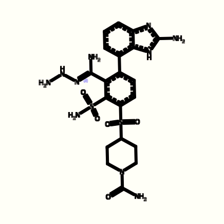 NN/N=C(\N)c1c(-c2cccc3nc(N)[nH]c23)ccc(S(=O)(=O)C2CCN(C(N)=O)CC2)c1S(N)(=O)=O